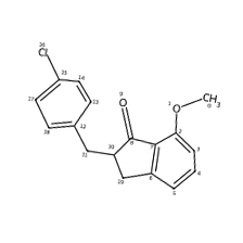 COc1cccc2c1C(=O)C(Cc1ccc(Cl)cc1)C2